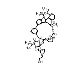 CCn1c(-c2cccnc2[C@H](C)OC)c2c3cc(ccc31)-c1cccc(c1)C[C@H](NC(=O)[C@H](C(C)C)N(C)C(=O)[C@H]1CCN(CCO)C1)C(=O)N1CCC[C@H](N1)C(=O)OCC(C)(C)C2